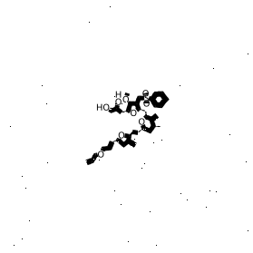 C=CCOC/C=C/[C@H]1CC(=C)[C@H](CC[C@H]2C[C@@H](C)C(=C)[C@@H](C[C@@H]3O[C@H](CC(O)CO)[C@H](OC)C3CS(=O)(=O)c3ccccc3)O2)O1